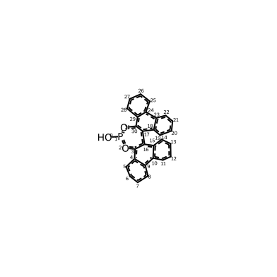 Op1oc2c3ccccc3c3ccccc3c2c2c3ccccc3c3ccccc3c2o1